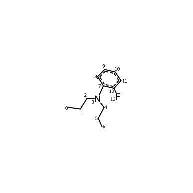 CCCN(CCC)c1[c]cccc1F